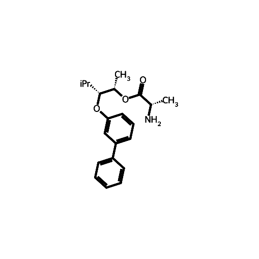 CC(C)[C@@H](Oc1cccc(-c2ccccc2)c1)[C@H](C)OC(=O)[C@H](C)N